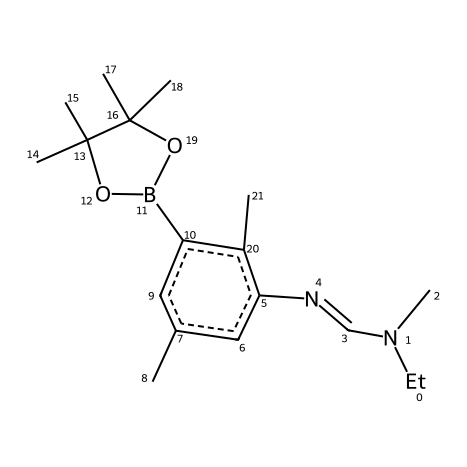 CCN(C)C=Nc1cc(C)cc(B2OC(C)(C)C(C)(C)O2)c1C